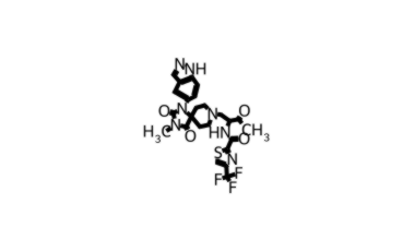 CC(=O)C(CN1CCC2(CC1)C(=O)N(C)C(=O)N2c1ccc2[nH]ncc2c1)NC(=O)c1nc(C(F)(F)F)cs1